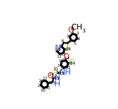 COc1cccc(C2Cc3nccc(Oc4ccc(NC(=S)NC(=O)Cc5ccccc5)cc4F)c3S2)c1